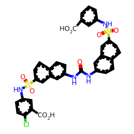 O=C(Nc1ccc2ccc(S(=O)(=O)Nc3cccc(C(=O)O)c3)cc2c1)Nc1ccc2ccc(S(=O)(=O)Nc3ccc(Cl)c(C(=O)O)c3)cc2c1